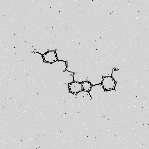 COc1cccc(-c2sc3c(NN=Cc4ccc(C(=O)O)cc4)ncnc3c2C)c1